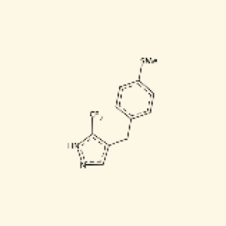 CSc1ccc(Cc2cn[nH]c2C(F)(F)F)cc1